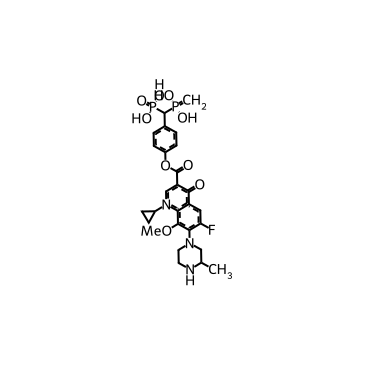 C=P(O)(O)C(c1ccc(OC(=O)c2cn(C3CC3)c3c(OC)c(N4CCNC(C)C4)c(F)cc3c2=O)cc1)P(=O)(O)O